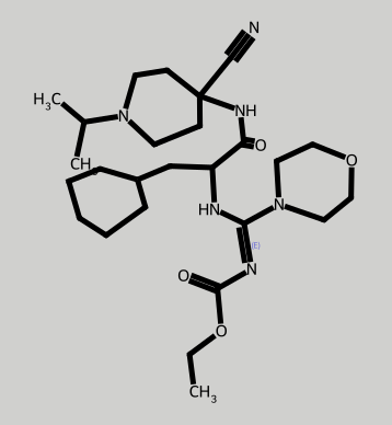 CCOC(=O)/N=C(\NC(CC1CCCCC1)C(=O)NC1(C#N)CCN(C(C)C)CC1)N1CCOCC1